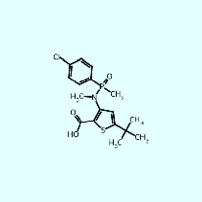 CN(c1cc(C(C)(C)C)sc1C(=O)O)P(C)(=O)c1ccc(Cl)cc1